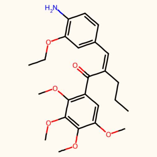 CCCC(=Cc1ccc(N)c(OCC)c1)C(=O)c1cc(OC)c(OC)c(OC)c1OC